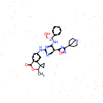 CC1OC(=O)c2ccc(Nc3ncc(-c4nc(C56CCN(CC5)CC6)no4)c(N[C@H](CO)c4ccccc4)n3)cc2C12CC2